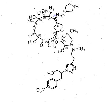 CC[C@H]1OC(=O)[C@H](C)C(=O)[C@H](C)[C@@H](O[C@@H]2O[C@H](C)C[C@H](N(C)CCc3cn(C(CO)Cc4ccc([N+](=O)[O-])cc4)nn3)[C@H]2O)[C@@]2(C)C[C@@H](CO2)/C(=N\O[C@@H]2CCNC2)[C@H](C)[C@@H](O)[C@]1(C)O